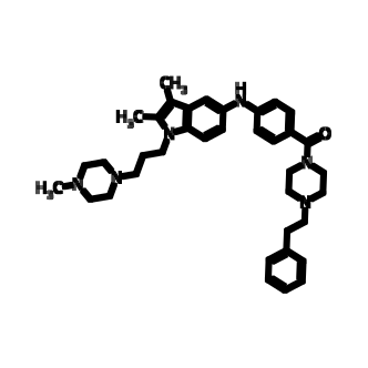 Cc1c(C)n(CCCN2CCN(C)CC2)c2ccc(Nc3ccc(C(=O)N4CCN(CCc5ccccc5)CC4)cc3)cc12